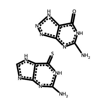 Nc1nc2nc[nH]c2c(=S)[nH]1.Nc1nc2nn[nH]c2c(=O)[nH]1